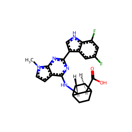 Cn1ccc2c(N[C@H]3C4CCC(CC4)[C@@H]3C(=O)O)nc(-c3c[nH]c4c(F)cc(F)cc34)nc21